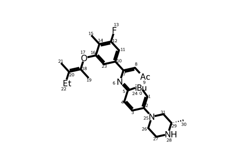 C\C=C(/C=C\C(=N\C(=C/C(C)=O)c1cc(F)c(C)c(O/C(C)=C(\C)CC)c1)C(C)CC)N1CCN[C@@H](C)C1